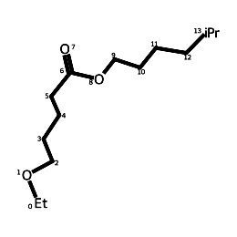 CCOCCCCC(=O)OCCCCC(C)C